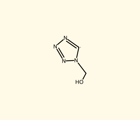 OCn1[c]nnn1